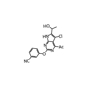 CC(=O)c1nc(Oc2cccc(C#N)c2)nc2[nH]c(C(C)O)c(Cl)c12